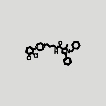 Cc1c(C(=O)NCCCN2CCN(c3cccc(Cl)c3Cl)CC2)cc(-c2ccccc2)n1CC1CCCCC1